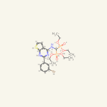 CCOP(=O)(OCC)C(Nc1nc(-c2cccc(Br)c2)nc2sccc12)P(=O)(OCC)OCC